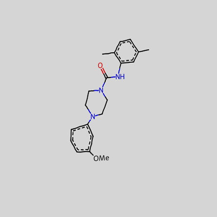 COc1cccc(N2CCN(C(=O)Nc3cc(C)ccc3C)CC2)c1